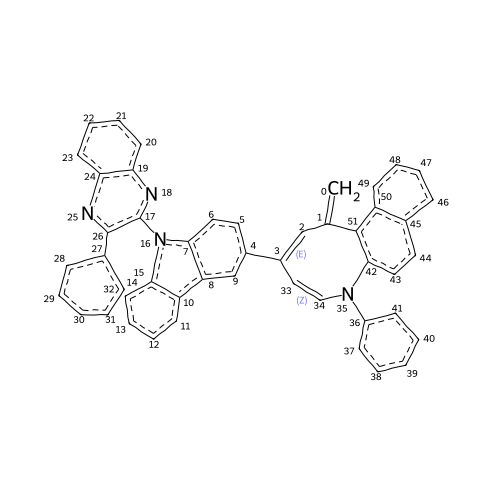 C=C1/C=C(c2ccc3c(c2)c2ccccc2n3-c2nc3ccccc3nc2-c2ccccc2)\C=C/N(c2ccccc2)c2ccc3ccccc3c21